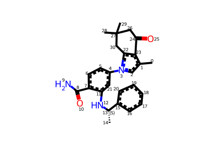 Cc1cn(-c2ccc(C(N)=O)c(N[C@@H](C)c3ccccc3)c2)c2c1C(=O)CC(C)(C)C2